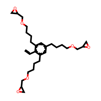 C=Cc1c(CCCCOCC2CO2)cc(CCCCOCC2CO2)cc1CCCCOCC1CO1